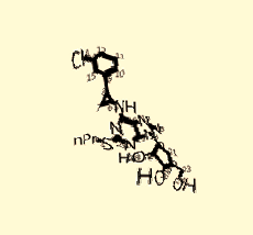 CCCSc1nc(NC2CC2c2cccc(Cl)c2)c2nnn([C@H]3C[C@@H](CO)[C@H](O)[C@@H]3O)c2n1